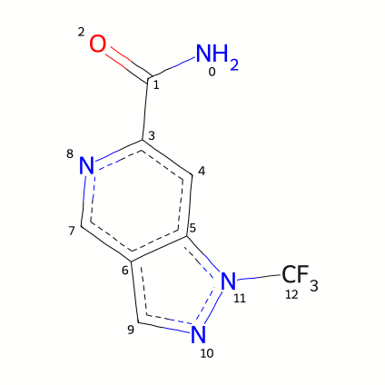 NC(=O)c1cc2c(cn1)cnn2C(F)(F)F